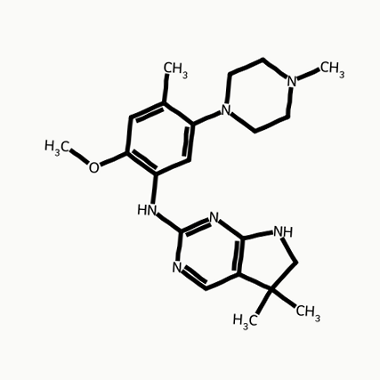 COc1cc(C)c(N2CCN(C)CC2)cc1Nc1ncc2c(n1)NCC2(C)C